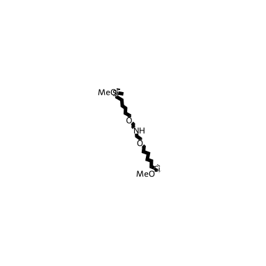 CO[Si](C)(C)CCCCCCOCCNCCOCCCCCC[Si](C)(C)OC